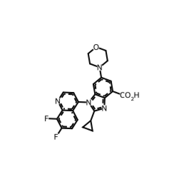 O=C(O)c1cc(N2CCOCC2)cc2c1nc(C1CC1)n2-c1ccnc2c(F)c(F)ccc12